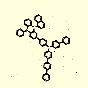 c1ccc(-c2ccc(-c3ccc(N(c4ccc(-c5ccccc5)cc4)c4ccc(-c5ccc6c(c5)N(c5cccc7ccccc57)c5ccccc5N6c5ccccc5)cc4)cc3)cc2)cc1